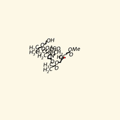 C=C(C)C(=O)OCC1CO1.C=C(C)C(=O)OCCO.C=CC(=O)OC.C=CN1CCCC1=O.C=CNC=O.C=COC(C)=O